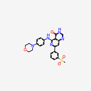 CS(=O)(=O)c1cccc(-c2cc3nc[nH]c(=O)c3c(Nc3ccc(N4CCOCC4)cc3)n2)c1